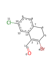 O=CC1=C(Br)CCc2ccc(Cl)cc21